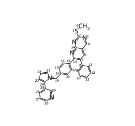 CSc1ncc2cc(-c3ccccc3)c(-c3ccc(Cn4cccc4-c4cccnc4)cc3)nc2n1